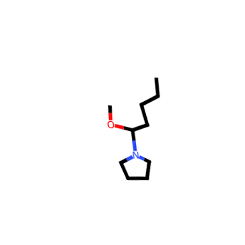 CCCCC(OC)N1CCCC1